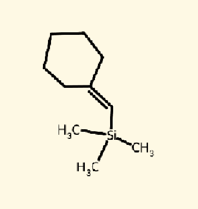 C[Si](C)(C)C=C1CCCCC1